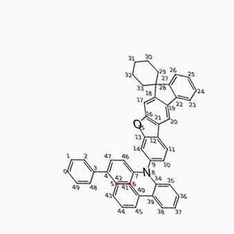 c1ccc(-c2ccc(N(c3ccc4c(c3)oc3cc5c(cc34)-c3ccccc3C53CCCCC3)c3ccccc3-c3ccccc3)cc2)cc1